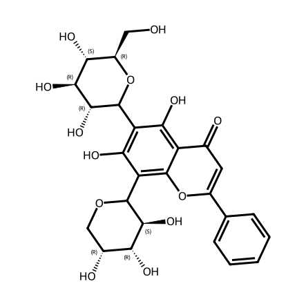 O=c1cc(-c2ccccc2)oc2c(C3OC[C@@H](O)[C@@H](O)[C@@H]3O)c(O)c(C3O[C@H](CO)[C@@H](O)[C@H](O)[C@H]3O)c(O)c12